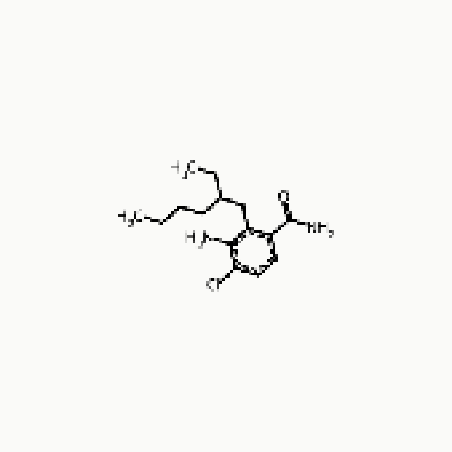 CCCCC(CC)Cc1c(C(N)=O)ccc(Cl)c1N